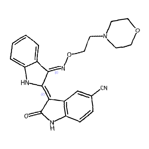 N#Cc1ccc2c(c1)/C(=C1/Nc3ccccc3/C1=N\OCCN1CCOCC1)C(=O)N2